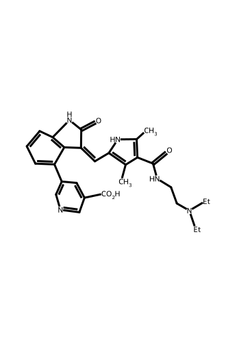 CCN(CC)CCNC(=O)c1c(C)[nH]c(C=C2C(=O)Nc3cccc(-c4cncc(C(=O)O)c4)c32)c1C